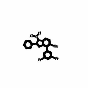 CC(C)c1cc(-c2c(C(C)(C)C)ccc3c2C=C(c2ccccc2)[CH]3[Zr]([Cl])[Cl])cc(C(C)C)c1